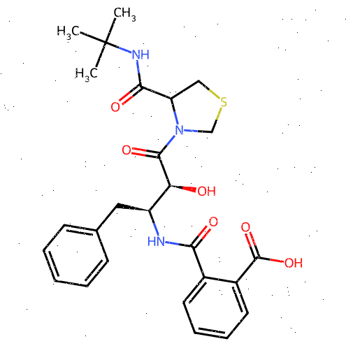 CC(C)(C)NC(=O)C1CSCN1C(=O)[C@@H](O)[C@H](Cc1ccccc1)NC(=O)c1ccccc1C(=O)O